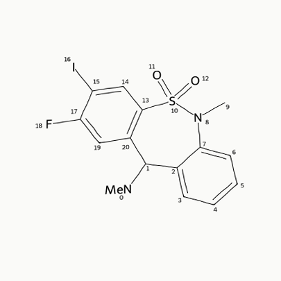 CNC1c2ccccc2N(C)S(=O)(=O)c2cc(I)c(F)cc21